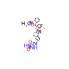 C=NO/C(=C(\Cc1onc2c1CCc1cc(CN3CC4(C3)NC(=O)NC4=O)ccc1-2)C(F)(F)F)c1ccccc1